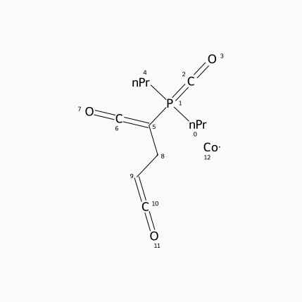 CCCP(=C=O)(CCC)C(=C=O)CC=C=O.[Co]